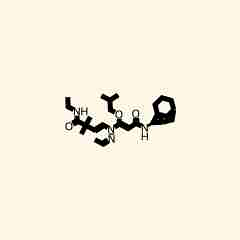 C/C=N\N(/C=C/C(C)(C)C(=O)NCC)/C(=C/C(=O)N[C@@H]1C2CC3CCCC21C3)OCC(C)C